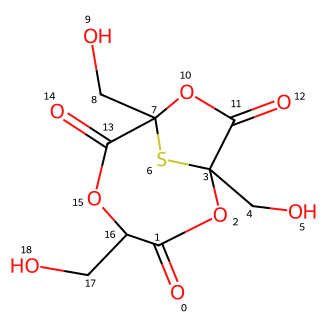 O=C1OC2(CO)SC(CO)(OC2=O)C(=O)OC1CO